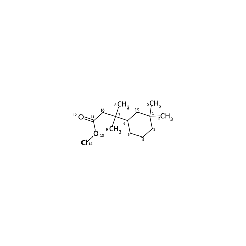 CC1(C)CCCC(C(C)(C)CC(=O)OCl)C1